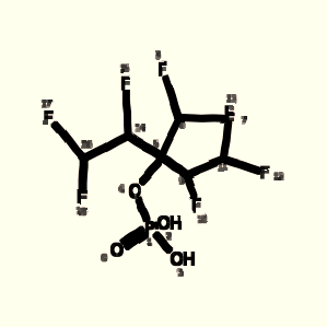 O=P(O)(O)OC(C(F)F)(C(F)C(F)F)C(F)C(F)F